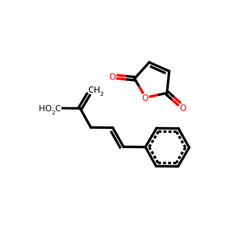 C=C(CC=Cc1ccccc1)C(=O)O.O=C1C=CC(=O)O1